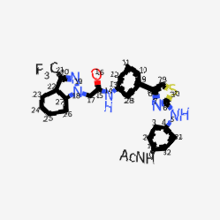 CC(=O)Nc1ccc(Nc2nc(-c3cccc(NC(=O)CN4N=C(C(F)(F)F)C5CCCCC54)c3)cs2)cc1